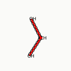 C#CP(=O)(OCCOCCOCCOCCOCCOCCOCCOCCOCCOCCOCCOCCO)OCCOCCOCCOCCOCCOCCOCCOCCOCCOCCOCCOCCO